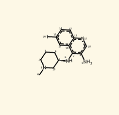 CN1CCC[C@@H](Nc2c(N)cnc3ccc(I)cc23)C1